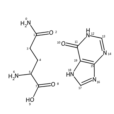 NC(=O)CCC(N)C(=O)O.O=c1[nH]cnc2nc[nH]c12